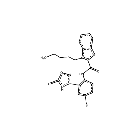 CCCCCn1c(C(=O)Nc2ccc(Br)cc2-c2noc(=O)[nH]2)cc2ccccc21